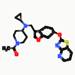 CC(=O)N1CCC(N(Cc2coc3cc(Oc4nc5ncccc5s4)ccc23)C2CC2)CC1